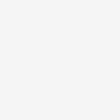 CC(Oc1cc(C(=O)O)ncc1C1CC1)C(F)(F)F